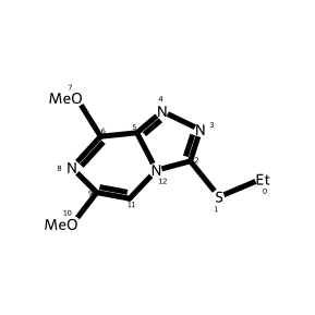 CCSc1nnc2c(OC)nc(OC)cn12